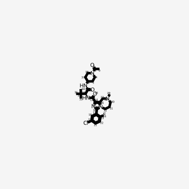 CC(=O)N1CCC(NC(=O)[C@@H](NC(=O)c2nc(-c3cc(Cl)ccc3F)n3c2CN(C)CCC3)C(C)(C)C)CC1